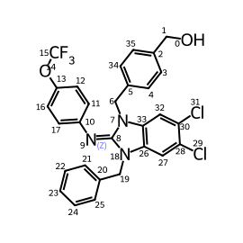 OCc1ccc(Cn2/c(=N\c3ccc(OC(F)(F)F)cc3)n(Cc3ccccc3)c3cc(Cl)c(Cl)cc32)cc1